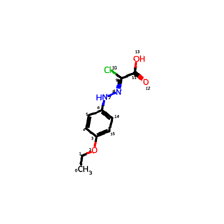 CCOc1ccc(NN=C(Cl)C(=O)O)cc1